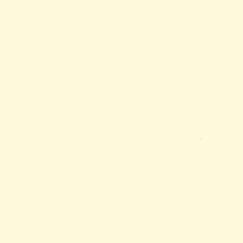 CC(C)(C)[Si](C)(C)OCCC#CCCCCCCl